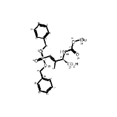 C/C(=C\P(=O)(OCc1ccccc1)OCc1ccccc1)[C@@H](NC(=O)OC(C)(C)C)C(=O)O